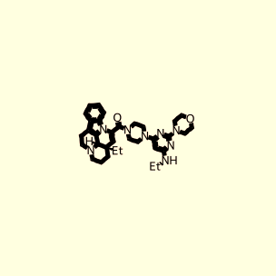 CCNc1cc(N2CCN(C(=O)C3=C[C@]4(CC)CCCN5CCc6c(n3c3ccccc63)[C@@H]54)CC2)nc(N2CCOCC2)n1